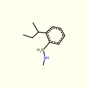 CCC(C)c1ccccc1[SiH2]NC